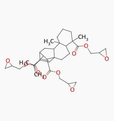 CC(C)C1=CC23CCC4C(C)(C(=O)OCC5CO5)CCCC4(C)C2CC1C(C(=O)OCC1CO1)C3C(=O)OCC1CO1